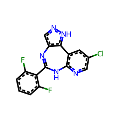 Fc1cccc(F)c1C1=Nc2cn[nH]c2-c2cc(Cl)cnc2N1